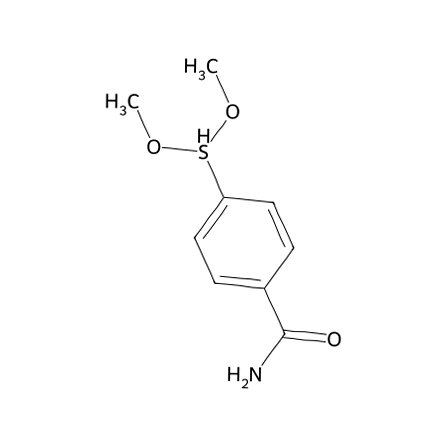 CO[SH](OC)c1ccc(C(N)=O)cc1